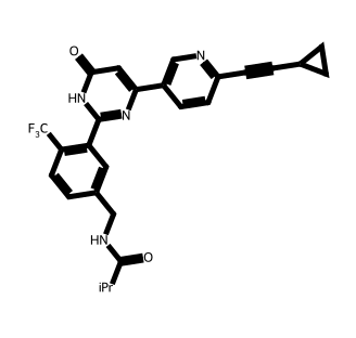 CC(C)C(=O)NCc1ccc(C(F)(F)F)c(-c2nc(-c3ccc(C#CC4CC4)nc3)cc(=O)[nH]2)c1